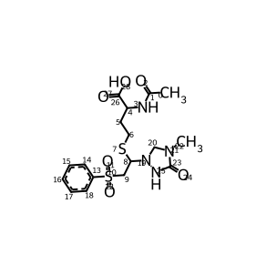 CC(=O)NC(CCSC(CS(=O)(=O)c1ccccc1)N1CN(C)C(=O)N1)C(=O)O